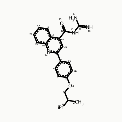 CC(C)C(C)COc1ccc(-c2cc(C(=O)NC(=N)N)c3ccccc3n2)cc1